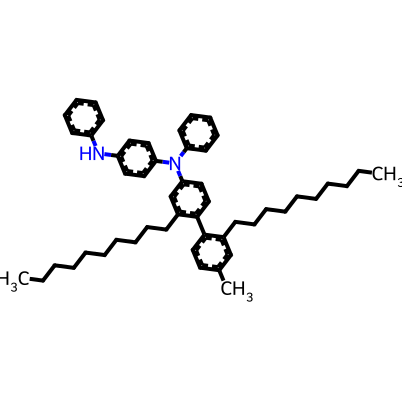 CCCCCCCCCCc1cc(C)ccc1-c1ccc(N(c2ccccc2)c2ccc(Nc3ccccc3)cc2)cc1CCCCCCCCCC